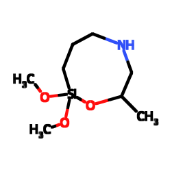 CO[Si]1(OC)CCCNCC(C)O1